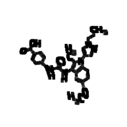 CCCn1cc(-n2c(C)c(NC(=O)Nc3ccc(C(=O)O)cc3)c3cc(OC)ccc32)cn1